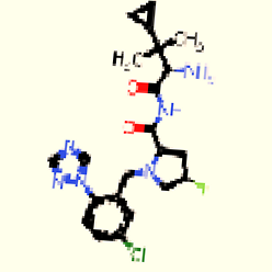 CC(C)(C1CC1)[C@@H](N)C(=O)NC(=O)C1C[C@@H](F)CN1Cc1cc(Cl)ccc1-n1cncn1